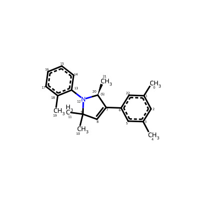 Cc1cc(C)cc(C2=CC(C)(C)N(c3ccccc3C)[C@H]2C)c1